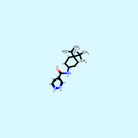 CC(C)C1(C(C)(C)C)CCC(NC(=O)c2ccnnc2)CC1